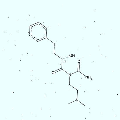 CN(C)CCN(C(N)=O)C(=O)[C@@H](O)[CH]Cc1ccccc1